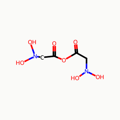 O=C(CN(O)O)OC(=O)CN(O)O